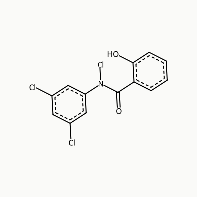 O=C(c1ccccc1O)N(Cl)c1cc(Cl)cc(Cl)c1